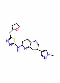 Cn1cc(-c2cnc3ccc(Nc4nnc(CC5CCCO5)s4)nc3c2)cn1